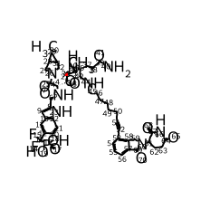 CCCC[C@H](NC(=O)c1cc2cc(C(F)(F)P(=O)(O)O)ccc2[nH]1)C(=O)N1CC2C(C)C2[C@@H]1C(=O)N[C@@H](CCC(N)=O)C(=O)NCCCCCCC#Cc1cccc2c1CN(C1CCC(=O)NC1=O)C2=O